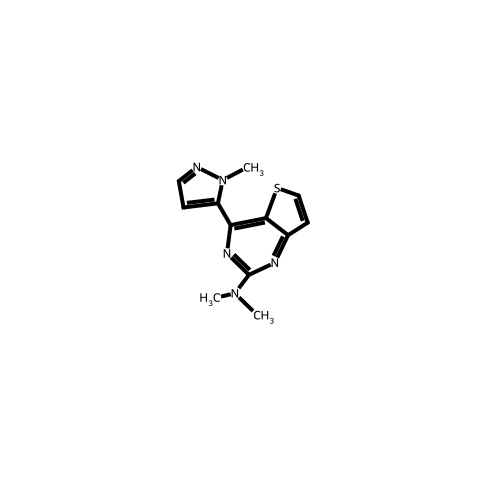 CN(C)c1nc(-c2ccnn2C)c2sccc2n1